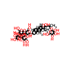 C[C@H](CC[C@@]1(O)O[C@H]2C[C@H]3[C@@H]4CC[C@H]5C[C@@H](O[C@@H]6O[C@H](CO)[C@H](O[C@@H]7O[C@H](CO)[C@@H](O)[C@H](O[C@@H]8OC[C@@H](O)[C@H](O)[C@H]8O)[C@H]7O[C@@H]7O[C@H](CO)[C@H](O)[C@H](O)[C@H]7O)[C@H](O)[C@H]6O)CC[C@]5(C)[C@H]4CC[C@]3(C)[C@H]2[C@@H]1C)CO[C@@H]1O[C@H](CO)[C@@H](O)[C@H](O)[C@H]1O